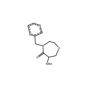 CNC1COCCN(Cc2cnccn2)C1=O